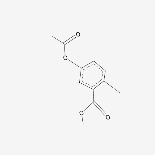 COC(=O)c1cc(OC(C)=O)ccc1C